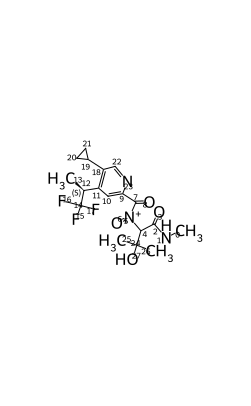 CNC(=O)C([N+](=O)C(=O)c1cc([C@H](C)C(F)(F)F)c(C2CC2)cn1)C(C)(C)O